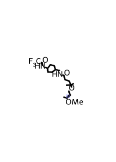 CO/C(C)=C/COC(C)(C)CCC(=O)NCC1CCC(NC(=O)C(F)(F)F)CC1